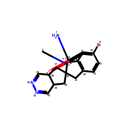 CN1C(=O)C2(N=C1N)c1cc(Br)ccc1CC21CC2C=NN=CC2C1